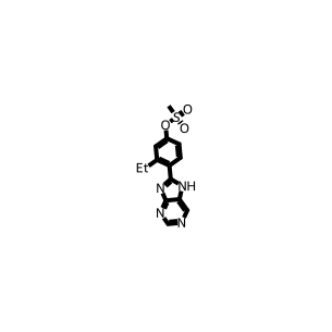 CCc1cc(OS(C)(=O)=O)ccc1-c1nc2ncncc2[nH]1